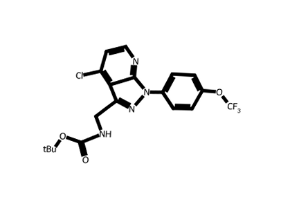 CC(C)(C)OC(=O)NCc1nn(-c2ccc(OC(F)(F)F)cc2)c2nccc(Cl)c12